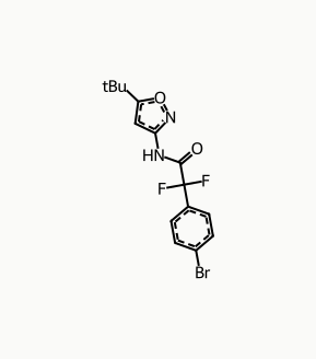 CC(C)(C)c1cc(NC(=O)C(F)(F)c2ccc(Br)cc2)no1